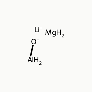 [Li+].[MgH2].[O-][AlH2]